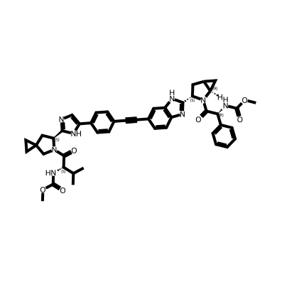 COC(=O)N[C@H](C(=O)N1CC2(CC2)C[C@H]1c1ncc(-c2ccc(C#Cc3ccc4nc([C@@H]5CC6C[C@H]6N5C(=O)[C@H](NC(=O)OC)c5ccccc5)[nH]c4c3)cc2)[nH]1)C(C)C